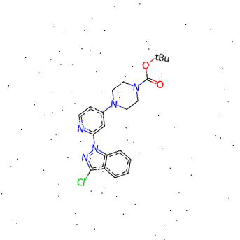 CC(C)(C)OC(=O)N1CCN(c2ccnc(-n3nc(Cl)c4ccccc43)c2)CC1